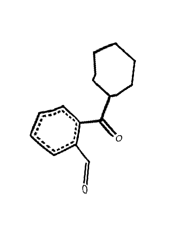 O=Cc1ccccc1C(=O)C1CCCCC1